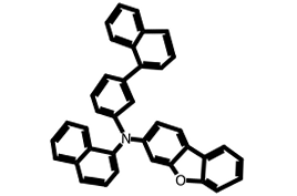 c1cc(-c2cccc3ccccc23)cc(N(c2ccc3c(c2)oc2ccccc23)c2cccc3ccccc23)c1